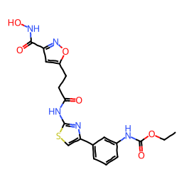 CCOC(=O)Nc1cccc(-c2csc(NC(=O)CCc3cc(C(=O)NO)no3)n2)c1